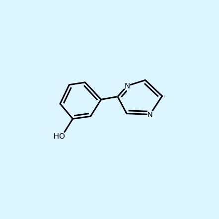 Oc1cccc(-c2cn[c]cn2)c1